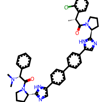 C[C@@H](C(=O)N1CCC[C@H]1c1ncc(-c2ccc(-c3ccc(-c4cnc([C@@H]5CCCN5C(=O)[C@@H](c5ccccc5)N(C)C)[nH]4)cc3)cc2)[nH]1)c1ccccc1Cl